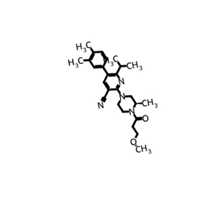 COCCC(=O)N1CCN(c2nc(C(C)C)c(-c3ccc(C)c(C)c3)cc2C#N)C[C@H]1C